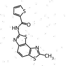 Cc1nc2c(ccc3nc(NC(=O)c4cccs4)sc32)s1